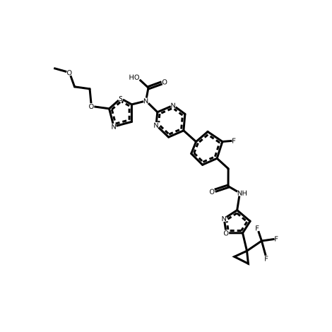 COCCOc1ncc(N(C(=O)O)c2ncc(-c3ccc(CC(=O)Nc4cc(C5(C(F)(F)F)CC5)on4)c(F)c3)cn2)s1